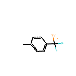 Cc1ccc(C(F)(F)P)cc1